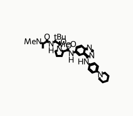 CNC(C)C(=O)NC(C(=O)N1CCCC1C(=O)Nc1cc2c(Nc3ccc(N4CCCCC4)cc3)ncnc2cc1OC)C(C)(C)C